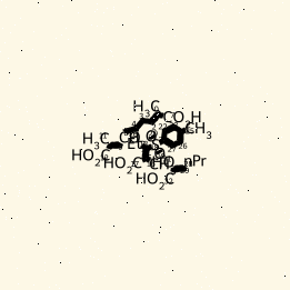 C/C(=C\CC1CO1)C(=O)O.C/C=C(\C)C(=O)O.CC/C(=C(/C)C(=O)O)S(=O)(=O)c1ccc(C)cc1.CCC/C=C(\O)C(=O)O